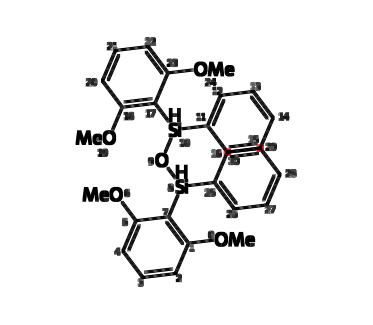 COc1cccc(OC)c1[SiH](O[SiH](c1ccccc1)c1c(OC)cccc1OC)c1ccccc1